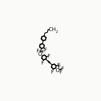 C=CCCc1ccc(-c2ccc(C(F)(F)Oc3cc(F)c(C#Cc4cc(F)c(OC(F)(F)F)c(F)c4)c(F)c3)c(F)c2)cc1